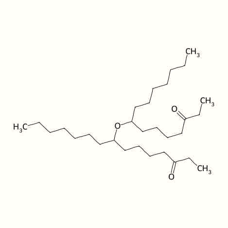 CCCCCCCC(CCCCC(=O)CC)OC(CCCCCCC)CCCCC(=O)CC